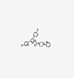 O=C(Cn1nc(-c2ccc(F)cn2)cc1-c1ccc(F)cc1)N1CCN(c2ccccn2)CC1